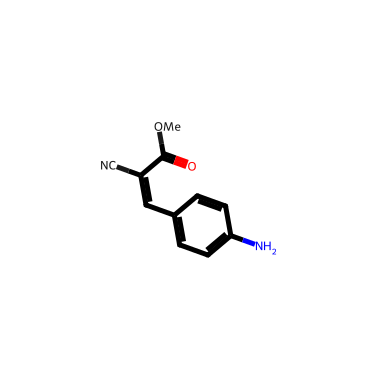 COC(=O)C(C#N)=Cc1ccc(N)cc1